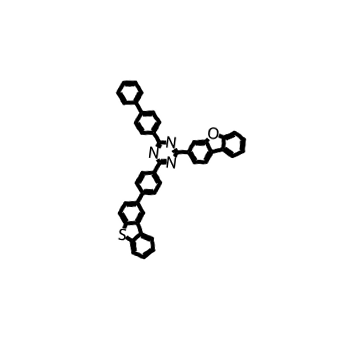 c1ccc(-c2ccc(-c3nc(-c4ccc(-c5ccc6sc7ccccc7c6c5)cc4)nc(-c4ccc5c(c4)oc4ccccc45)n3)cc2)cc1